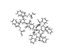 C=CC(=O)CCc1nc2ccccc2n1-c1cc(-n2c(=O)c3cc4c(=O)n(-c5cc(-n6c(C(CC(=O)C=C)c7ccccc7)nc7ccccc76)cc(-n6c(C(CC(=O)C=C)c7ccccc7)nc7ccccc76)c5)c(=O)c4cc3c2=O)cc(-n2c(CCC(=O)C=C)nc3ccccc32)c1